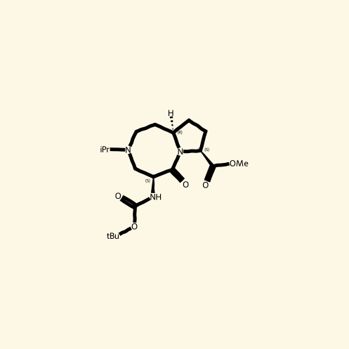 COC(=O)[C@@H]1CC[C@@H]2CCN(C(C)C)C[C@H](NC(=O)OC(C)(C)C)C(=O)N21